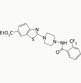 CCOC(=O)c1ccc2nc(N3CCN(NC(=O)c4ccccc4C(F)(F)F)CC3)sc2c1